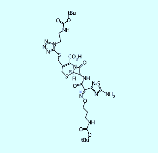 CC(C)(C)OC(=O)NCCCO/N=C(/C(=O)NC1C(=O)N2C(C(=O)O)=C(CSc3nnnn3CCNC(=O)OC(C)(C)C)CS[C@H]12)c1nsc(N)n1